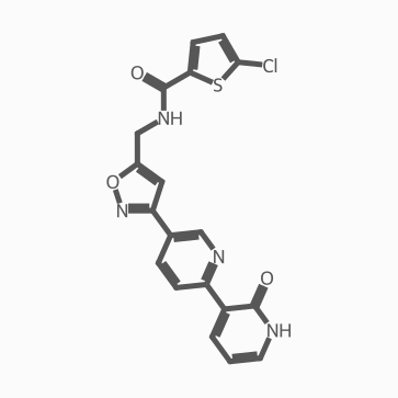 O=C(NCc1cc(-c2ccc(-c3ccc[nH]c3=O)nc2)no1)c1ccc(Cl)s1